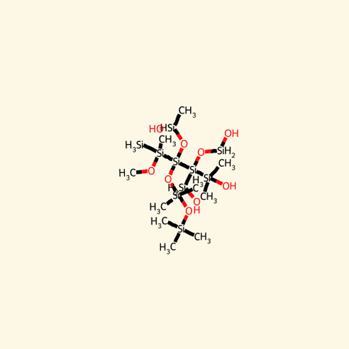 CO[Si](C)([SiH3])[Si](O[SiH](C)O)(O[Si](C)(C)O[Si](C)(C)C)[Si](O[SiH2]O)([SiH2]O)[Si](C)(C)O